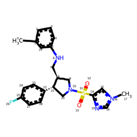 Cc1cccc(NC[C@H]2CN(S(=O)(=O)c3cn(C)cn3)C[C@@H]2c2ccc(F)cc2)c1